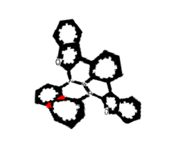 c1ccc(N2B3c4c(cccc4-c4c(oc5ccccc45)N3c3ccccc3)-c3c2oc2ccccc32)cc1